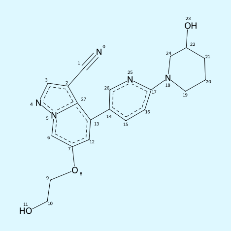 N#Cc1cnn2cc(OCCO)cc(-c3ccc(N4CCCC(O)C4)nc3)c12